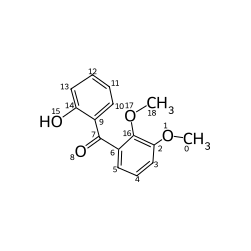 COc1cccc(C(=O)c2ccccc2O)c1OC